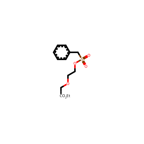 CCOC(=O)COCCOS(=O)(=O)Cc1ccccc1